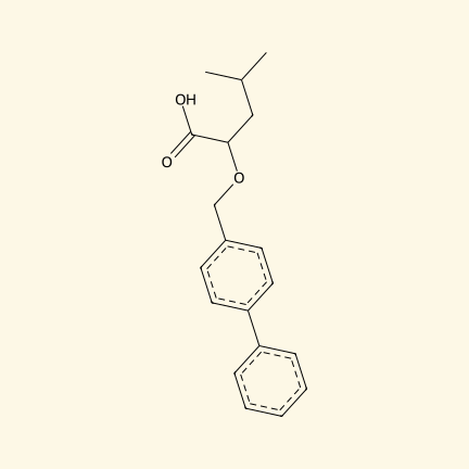 CC(C)CC(OCc1ccc(-c2ccccc2)cc1)C(=O)O